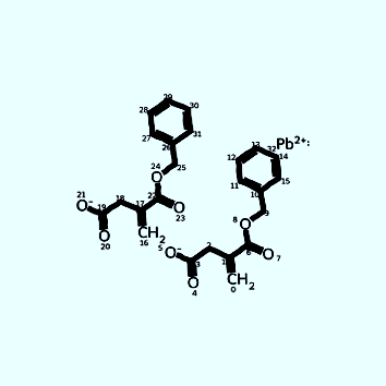 C=C(CC(=O)[O-])C(=O)OCc1ccccc1.C=C(CC(=O)[O-])C(=O)OCc1ccccc1.[Pb+2]